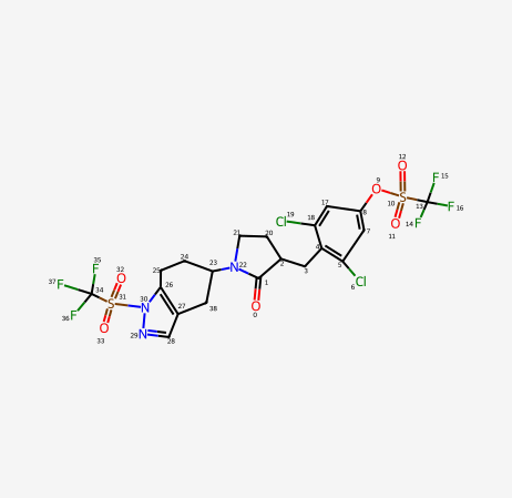 O=C1C(Cc2c(Cl)cc(OS(=O)(=O)C(F)(F)F)cc2Cl)CCN1C1CCc2c(cnn2S(=O)(=O)C(F)(F)F)C1